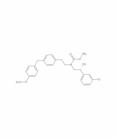 CC(=O)OOc1ccc(Cc2ccc(CCN(C[C@H](O)c3cccc(Cl)c3)C(=O)OC(C)(C)C)cc2)cc1